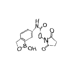 O=C(Nc1ccc2c(c1)B(O)OC2)ON1C(=O)CCC1=O